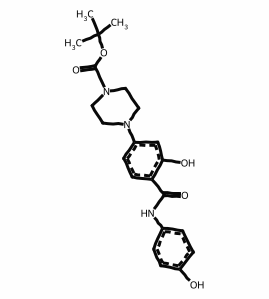 CC(C)(C)OC(=O)N1CCN(c2ccc(C(=O)Nc3ccc(O)cc3)c(O)c2)CC1